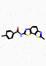 Cc1ccc(C(=O)Nc2nc3ccc4nc(C)sc4c3s2)cc1